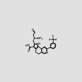 NC(CC=O)Cc1[nH]c2c(c1C(=O)O)CCc1cnc(-c3cccc(C(F)(F)F)c3)cc1-2